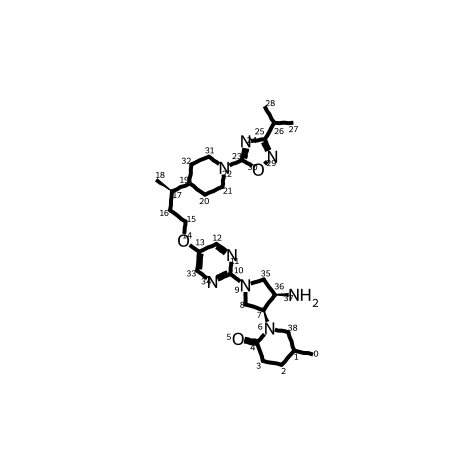 CC1CCC(=O)N([C@H]2CN(c3ncc(OCC[C@@H](C)C4CCN(c5nc(C(C)C)no5)CC4)cn3)C[C@H]2N)C1